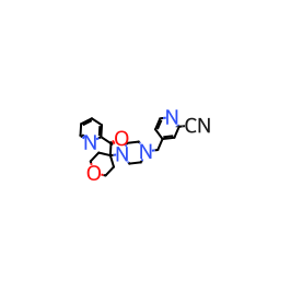 N#Cc1cc(CN2CCN(C3(C(=O)c4ccccn4)CCOCC3)CC2)ccn1